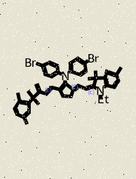 C=C(/C=C/C1=C(N(c2ccc(Br)cc2)c2ccc(Br)cc2)C(=C/C=C2/N(CC)c3ccc(C)cc3C2(C)C)/CC1)C(C)(C)c1cc(C)ccc1C